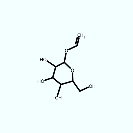 C=COC1OC(CO)C(O)C(O)C1O